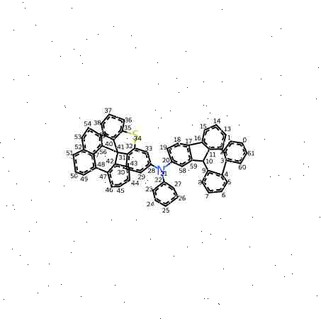 c1ccc(-c2ccccc2C2c3ccccc3-c3ccc(N(c4ccccc4)c4ccc5c(c4)Sc4ccccc4C54c5ccccc5-c5cccc6cccc4c56)cc32)cc1